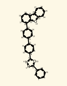 c1ccc(-c2nnc(-c3ccc(-c4ccc(-c5cccc6c5oc5ccccc56)cc4)cc3)o2)cc1